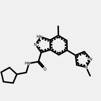 Cc1cc(-c2cnn(C)c2)cc2c(C(=O)NCC3CCCC3)n[nH]c12